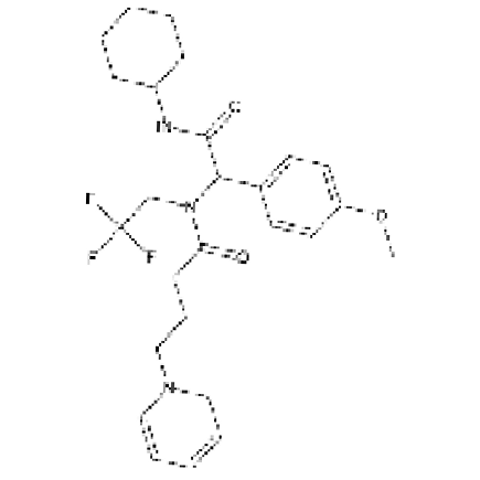 COc1ccc(C(C(=O)NC2CCCCC2)N(CC(F)(F)F)C(=O)CCCN2C=CC=CC2)cc1